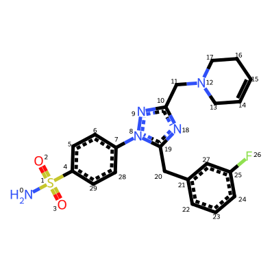 NS(=O)(=O)c1ccc(-n2nc(CN3CC=CCC3)nc2Cc2cccc(F)c2)cc1